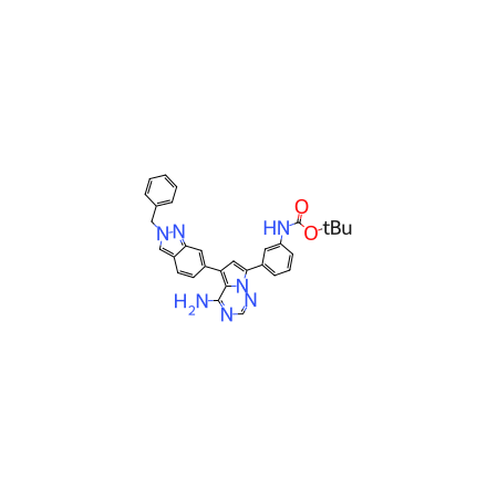 CC(C)(C)OC(=O)Nc1cccc(-c2cc(-c3ccc4cn(Cc5ccccc5)nc4c3)c3c(N)ncnn23)c1